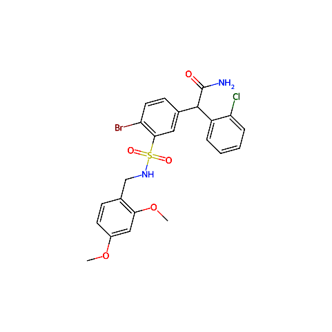 COc1ccc(CNS(=O)(=O)c2cc(C(C(N)=O)c3ccccc3Cl)ccc2Br)c(OC)c1